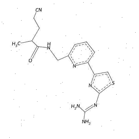 CC(CCC#N)C(=O)NCc1cccc(-c2csc(N=C(N)N)n2)n1